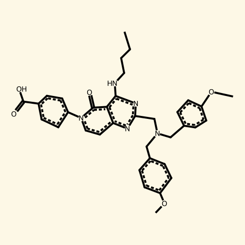 CCCCNc1nc(CN(Cc2ccc(OC)cc2)Cc2ccc(OC)cc2)nc2ccn(-c3ccc(C(=O)O)cc3)c(=O)c12